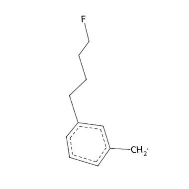 [CH2]c1cccc(CCCCF)c1